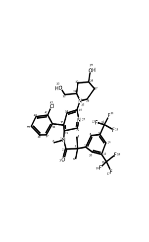 CN(C(=O)C(C)(C)c1cc(C(F)(F)F)cc(C(F)(F)F)c1)c1cnc(N2CCC(O)CC2CO)cc1-c1ccccc1Cl